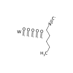 [C-]#[N+]CCCCC.[C]=O.[C]=O.[C]=O.[C]=O.[C]=O.[W]